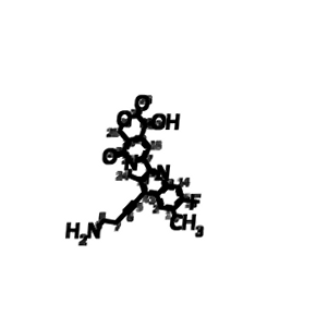 Cc1cc2c(C#CCCN)c3c(nc2cc1F)-c1cc2c(c(=O)n1C3)COC(=O)[C@H]2O